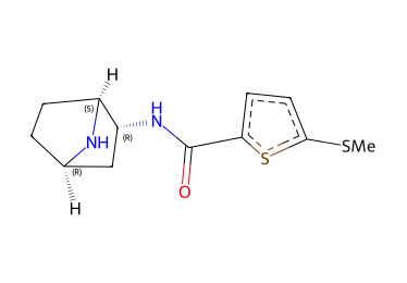 CSc1ccc(C(=O)N[C@@H]2C[C@H]3CC[C@@H]2N3)s1